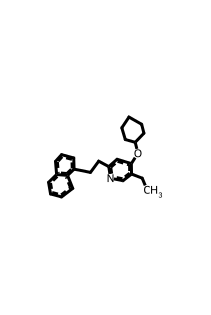 CCc1cnc(CCc2cccc3ccccc23)cc1OC1CCCCC1